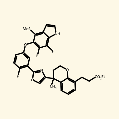 CCOC(=O)CCc1cccc2c1OCCC2(C)c1coc(-c2cc(Oc3c(F)c(F)c4[nH]ccc4c3SC)ccc2F)n1